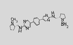 BN1CCC[C@H]1CNc1ncc(-c2ccc(-c3cnc(NC[C@@H]4CCCN4C)nc3)cc2)cn1